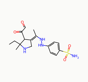 CCC1(C)NCC(=C(C)NNc2ccc(S(N)(=O)=O)cc2)C1C(=O)C=O